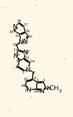 Cn1cc2c(Cn3ccc4nc(Cn5ncc6ccncc65)nc-4c3)ccnc2n1